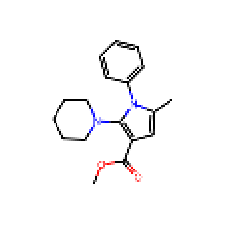 COC(=O)c1cc(C)n(-c2ccccc2)c1N1CCCCC1